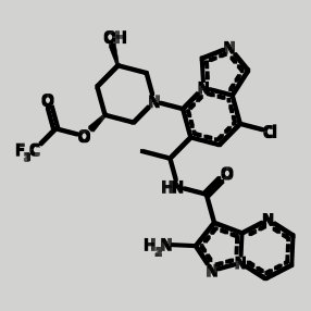 CC(NC(=O)c1c(N)nn2cccnc12)c1cc(Cl)c2cncn2c1N1C[C@H](O)C[C@H](OC(=O)C(F)(F)F)C1